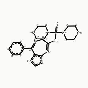 O=P(OC1=Nc2ccsc2C(c2ccccc2)=NC1)(N1CCOCC1)N1CCOCC1